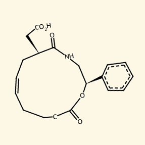 O=C(O)C[C@@H]1CC=CCCCC(=O)O[C@H](c2ccccc2)CNC1=O